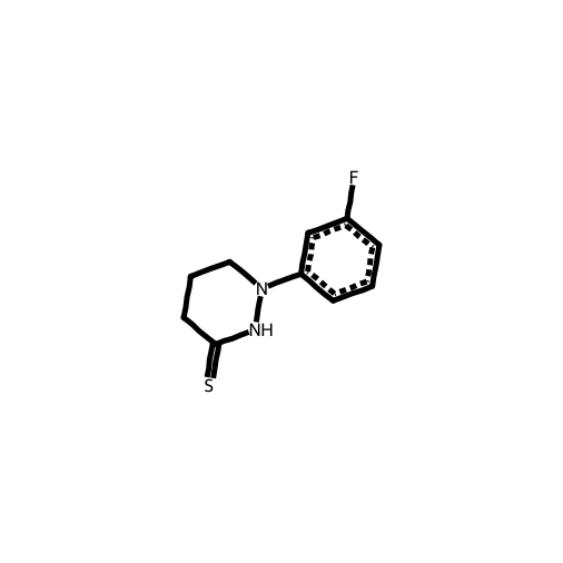 Fc1cccc(N2CCCC(=S)N2)c1